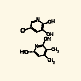 Cc1cc(O)nc(O)c1C.Oc1cc(Cl)cnc1O